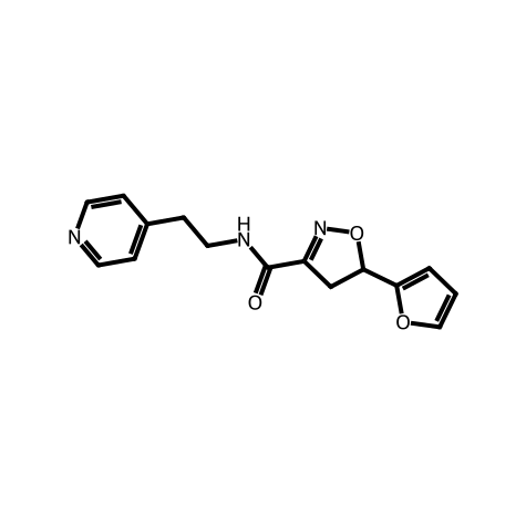 O=C(NCCc1ccncc1)C1=NOC(c2ccco2)C1